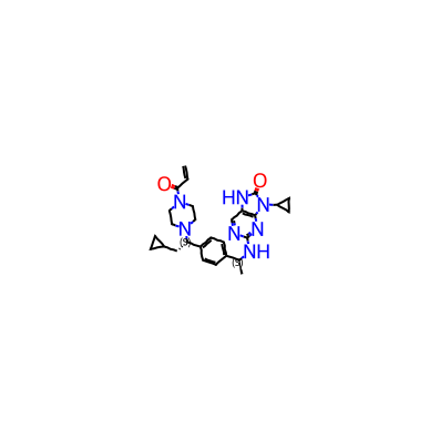 C=CC(=O)N1CCN([C@@H](CC2CC2)c2ccc([C@H](C)Nc3ncc4[nH]c(=O)n(C5CC5)c4n3)cc2)CC1